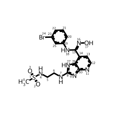 CS(=O)(=O)NCCNc1nc2nccc(/C(=N\O)Nc3cccc(Br)c3)c2[nH]1